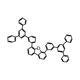 c1ccc(-c2cc(-c3ccccc3)cc(-c3cccc(-c4cccc5c4oc4c(-c6cccc(-c7cc(-c8ccccc8)cc(-c8ccccc8)c7)c6)cccc45)c3)c2)cc1